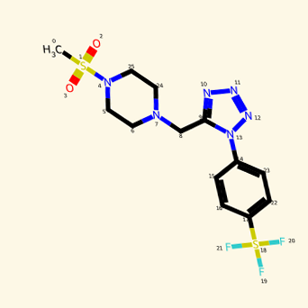 CS(=O)(=O)N1CCN(Cc2nnnn2-c2ccc(S(F)(F)F)cc2)CC1